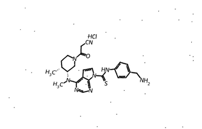 C[C@@H]1CCN(C(=O)CC#N)C[C@@H]1N(C)c1ncnc2c1ccn2C(=S)Nc1ccc(CN)cc1.Cl